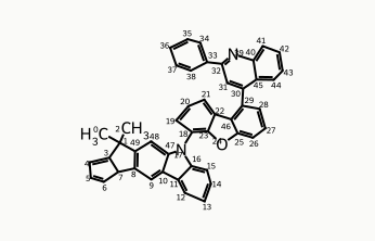 CC1(C)C2=CC=CC2c2cc3c4ccccc4n(-c4cccc5c4oc4cccc(-c6cc(-c7ccccc7)nc7ccccc67)c45)c3cc21